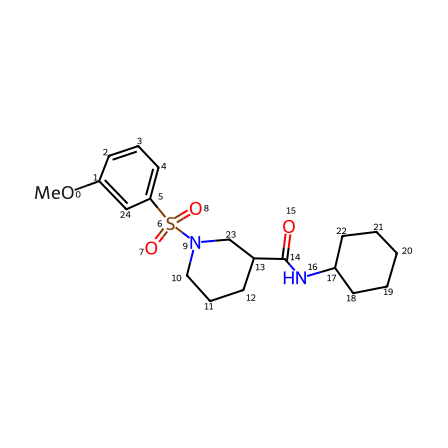 COc1cccc(S(=O)(=O)N2CCCC(C(=O)NC3CCCCC3)C2)c1